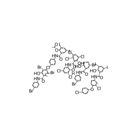 CC(=O)Oc1c(I)cc(I)cc1C(=O)Nc1ccc(Cl)cc1.O=C(Nc1cc(Cl)cc(Cl)c1O)c1c(O)c(Cl)cc(Cl)c1Cl.O=C(Nc1ccc(Br)cc1)c1cc(Br)cc(Br)c1O.O=C(Nc1ccc(Br)cc1)c1cc(Br)ccc1O.O=C(Nc1ccc(Oc2ccc(Cl)cc2)c(Cl)c1)c1cc(I)cc(I)c1O